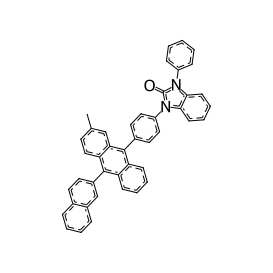 Cc1ccc2c(-c3ccc4ccccc4c3)c3ccccc3c(-c3ccc(-n4c(=O)n(-c5ccccc5)c5ccccc54)cc3)c2c1